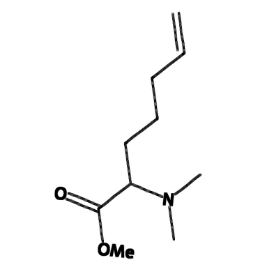 C=CCCCC(C(=O)OC)N(C)C